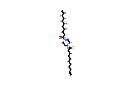 C=CCCCCCCCCC(=O)N1CCN(C(=O)CCCCCCCCC=C)CC1